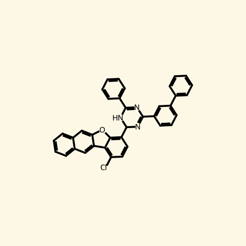 Clc1ccc(C2N=C(c3cccc(-c4ccccc4)c3)N=C(c3ccccc3)N2)c2oc3cc4ccccc4cc3c12